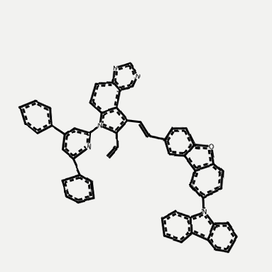 C=Cc1c(/C=C/c2ccc3oc4ccc(-n5c6ccccc6c6ccccc65)cc4c3c2)c2c3cncnc3ccc2n1-c1cc(-c2ccccc2)cc(-c2ccccc2)n1